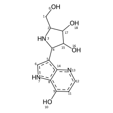 OCC1NC(c2c[nH]c3c(O)ccnc23)C(O)C1O